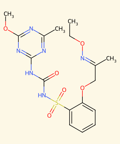 CCON=C(C)COc1ccccc1S(=O)(=O)NC(=O)Nc1nc(C)nc(OC)n1